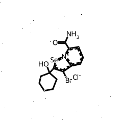 NC(=O)c1cccc2c(Br)c(C3(O)CCCCC3)[se][n+]12.[Cl-]